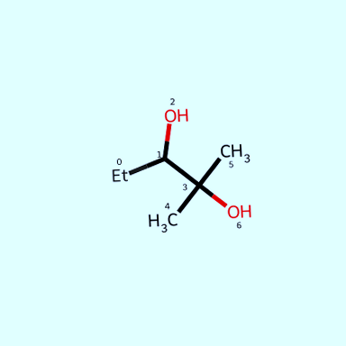 [CH2]CC(O)C(C)(C)O